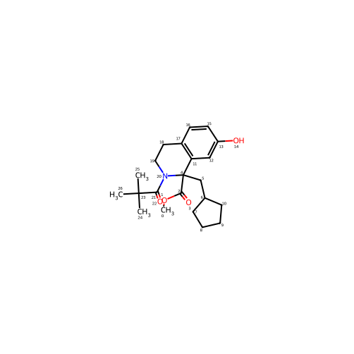 COC(=O)C1(CC2CCCC2)c2cc(O)ccc2CCN1C(=O)C(C)(C)C